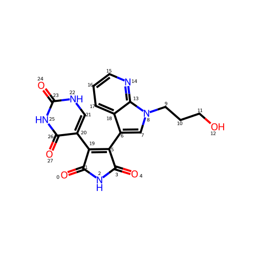 O=C1NC(=O)C(c2cn(CCCO)c3ncccc23)=C1c1c[nH]c(=O)[nH]c1=O